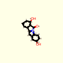 O=C1c2c(O)cccc2-c2cc3cc(O)ccc3n21